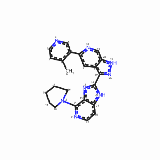 Cc1ccncc1-c1cc2c(-c3nc4c(N5CCCCC5)nccc4[nH]3)n[nH]c2cn1